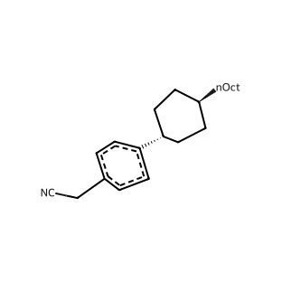 CCCCCCCC[C@H]1CC[C@H](c2ccc(CC#N)cc2)CC1